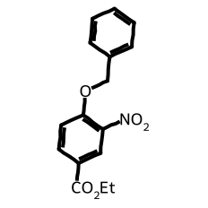 CCOC(=O)c1ccc(OCc2ccccc2)c([N+](=O)[O-])c1